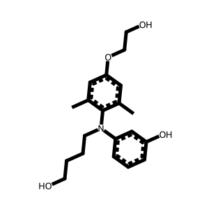 Cc1cc(OCCO)cc(C)c1N(CCCCO)c1cccc(O)c1